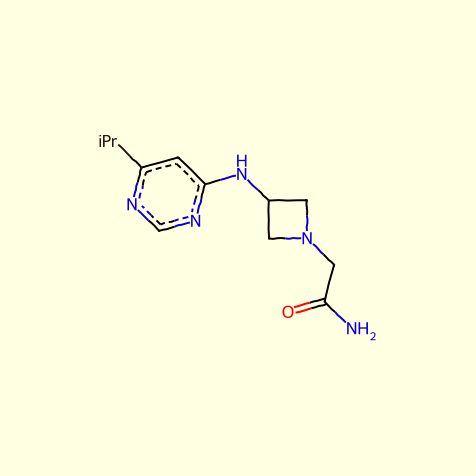 CC(C)c1cc(NC2CN(CC(N)=O)C2)ncn1